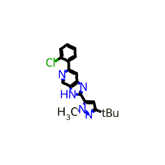 Cn1nc(C(C)(C)C)cc1-c1nc2cc(-c3ccccc3Cl)ncc2[nH]1